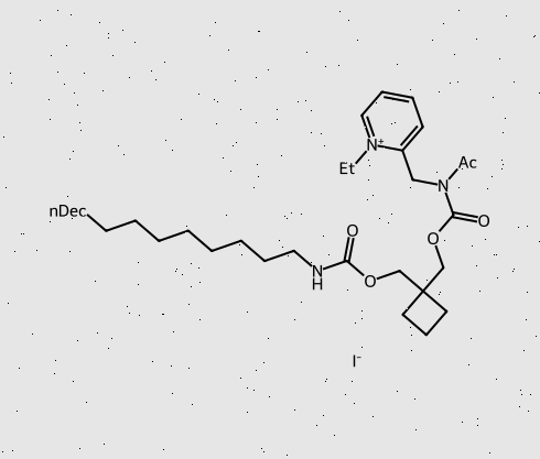 CCCCCCCCCCCCCCCCCCNC(=O)OCC1(COC(=O)N(Cc2cccc[n+]2CC)C(C)=O)CCC1.[I-]